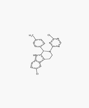 Cc1ccc(C2c3[nH]c4ccc(Cl)cc4c3CCN2c2ncnc(Cl)n2)cc1